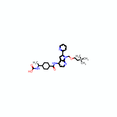 CC(NC(=O)O)C1CCC(C(=O)Nc2ccnc3c2cc(-c2ccccn2)n3COCC[Si](C)(C)C)CC1